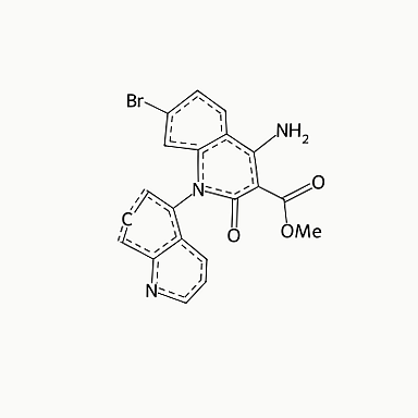 COC(=O)c1c(N)c2ccc(Br)cc2n(-c2cccc3ncccc23)c1=O